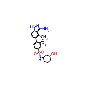 Cc1cc(S(=O)(=O)NC2CCCC(O)C2)ccc1-c1ccc2[nH]nc(N)c2c1C